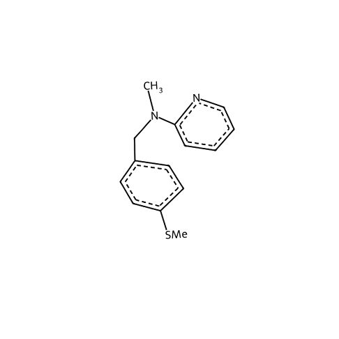 CSc1ccc(CN(C)c2ccccn2)cc1